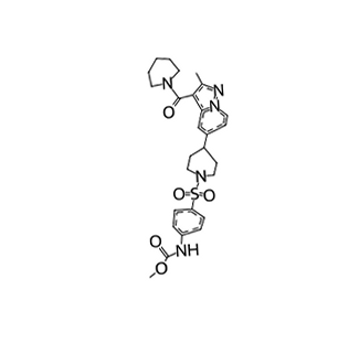 COC(=O)Nc1ccc(S(=O)(=O)N2CCC(c3ccn4nc(C)c(C(=O)N5CCCCC5)c4c3)CC2)cc1